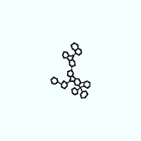 c1ccc(-c2cccc(-n3c4ccc(-c5ccc6c(c5)c5ccccc5n6-c5cccc6ccccc56)cc4c4cc5c(cc43)C(c3ccccc3)(c3ccccc3)c3ccccc3-5)c2)cc1